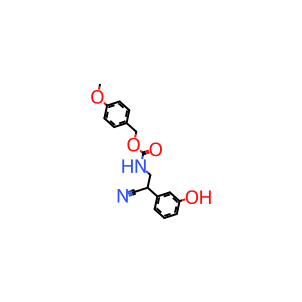 COc1ccc(COC(=O)NCC(C#N)c2cccc(O)c2)cc1